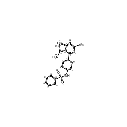 CC(C)(C)c1cc(-c2ccc(NS(=O)(=O)c3ccccc3)cc2)c2c(N)n[nH]c2n1